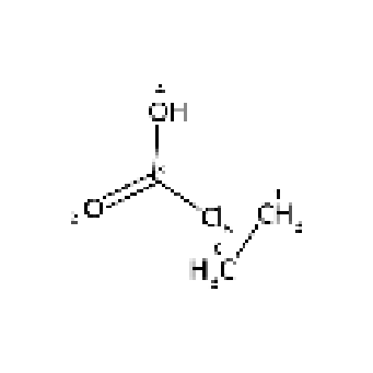 CC.O=C(O)Cl